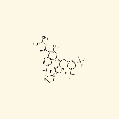 CC(C)OC(=O)N1c2ccc(C(F)(F)F)cc2[C@H](N(Cc2cc(C(F)(F)F)cc(C(F)(F)F)c2)c2nnn([C@H]3CCNC3)n2)C[C@@H]1C